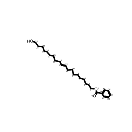 O=C(OCCCCCCCCCC=CCCCCCCCCCO)c1ccccc1